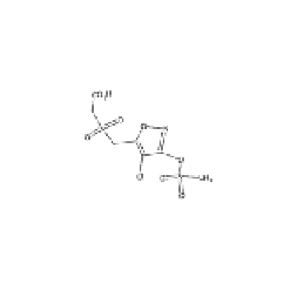 CS(=O)(=O)Oc1noc(CS(=O)(=O)CC(=O)O)c1Cl